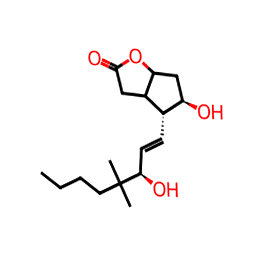 CCCCC(C)(C)[C@H](O)C=C[C@@H]1C2CC(=O)OC2C[C@H]1O